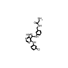 NCC(=O)NCc1cccc(Nc2n[nH]c3ncnc(Nc4cccc(Cl)c4)c23)c1